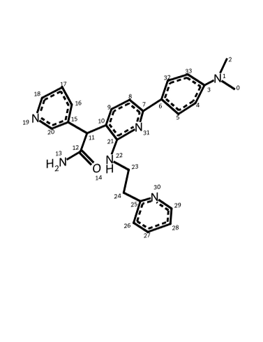 CN(C)c1ccc(-c2ccc(C(C(N)=O)c3cccnc3)c(NCCc3ccccn3)n2)cc1